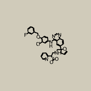 O=S(=O)=C(CNCC1(c2ccc3ncnc(Nc4ccc(OCc5cccc(F)c5)c(Cl)c4)c3c2)CC=CO1)c1ccccn1